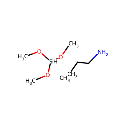 C.CCCN.CO[SiH](OC)OC